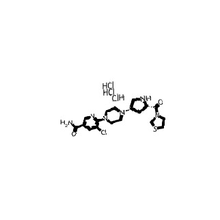 Cl.Cl.Cl.NC(=O)c1cnc(N2CCN([C@@H]3CN[C@H](C(=O)N4CCSC4)C3)CC2)c(Cl)c1